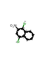 O=[N+]([O-])c1cc(Br)c2ccccc2c1Br